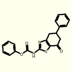 O=C(Nc1nc2c(s1)C(=O)CC(c1ccccc1)C2)Oc1ccccc1